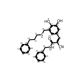 N#CC(=Cc1cc(O)c(O)c(CSCCCc2ccccc2)c1)C(=O)NCc1ccccc1